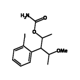 COC(C)C(c1ccccc1I)C(C)OC(N)=O